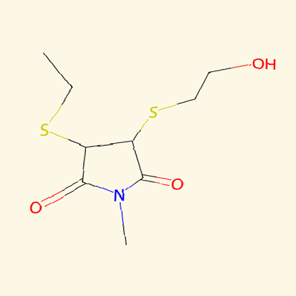 CCSC1C(=O)N(C)C(=O)C1SCCO